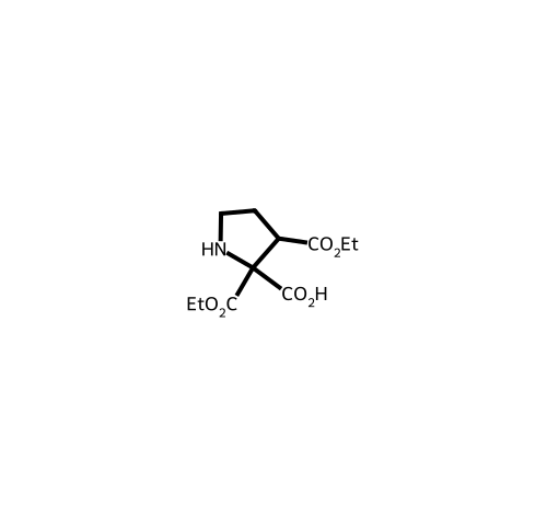 CCOC(=O)C1CCNC1(C(=O)O)C(=O)OCC